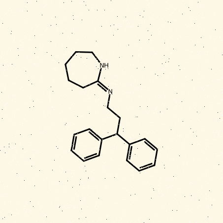 c1ccc(C(CCN=C2CCCCCN2)c2ccccc2)cc1